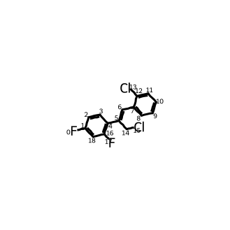 Fc1ccc(/C(=C/c2ccccc2Cl)CCl)c(F)c1